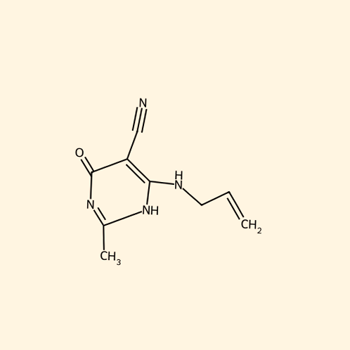 C=CCNc1[nH]c(C)nc(=O)c1C#N